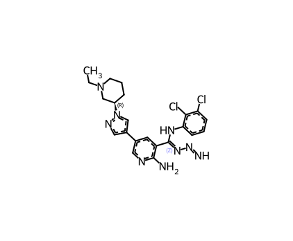 CCN1CCC[C@@H](n2cc(-c3cnc(N)c(/C(=N/N=N)Nc4cccc(Cl)c4Cl)c3)cn2)C1